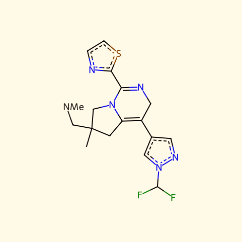 CNCC1(C)CC2=C(c3cnn(C(F)F)c3)CN=C(c3nccs3)N2C1